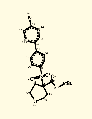 CC(C)(C)OC(=O)C1(S(=O)(=O)c2ccc(-c3cnc(Br)cn3)cc2)CCOCC1